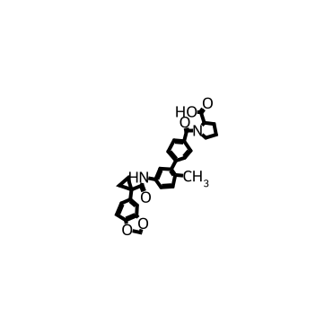 Cc1ccc(NC(=O)C2(c3ccc4c(c3)OCO4)CC2)cc1-c1ccc(C(=O)N2CCCC2C(=O)O)cc1